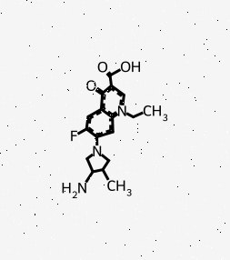 CCn1cc(C(=O)O)c(=O)c2cc(F)c(N3CC(C)C(N)C3)cc21